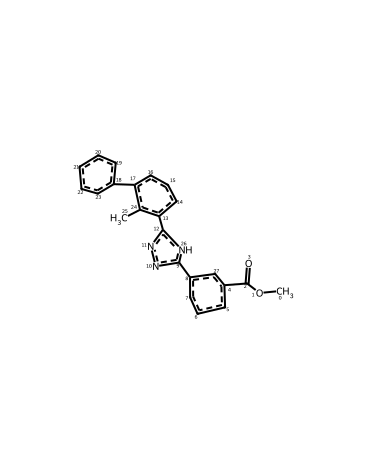 COC(=O)c1cccc(-c2nnc(-c3cccc(-c4ccccc4)c3C)[nH]2)c1